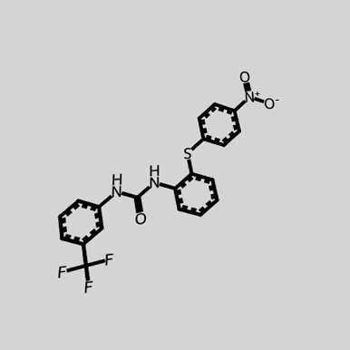 O=C(Nc1cccc(C(F)(F)F)c1)Nc1ccccc1Sc1ccc([N+](=O)[O-])cc1